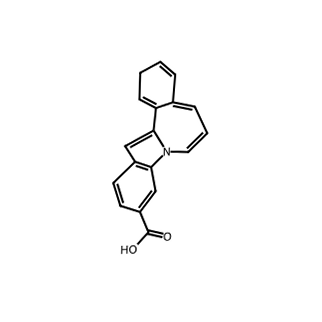 O=C(O)c1ccc2cc3n(c2c1)C=CC=C1C=CCC=C13